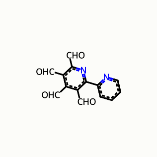 O=Cc1nc(-c2ccccn2)c(C=O)c(C=O)c1C=O